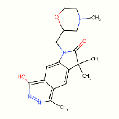 Cc1nnc(O)c2cc3c(cc12)C(C)(C)C(=O)N3CC1CN(C)CCO1